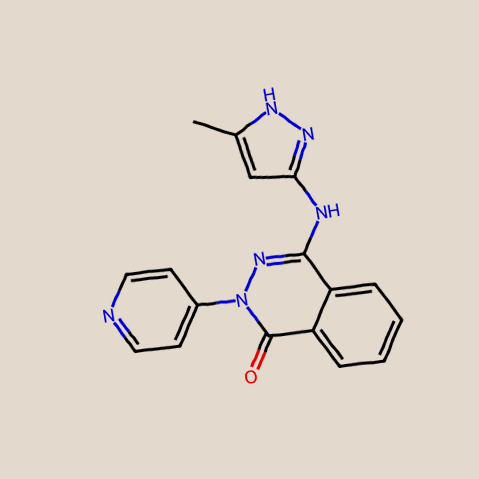 Cc1cc(Nc2nn(-c3ccncc3)c(=O)c3ccccc23)n[nH]1